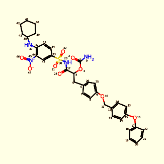 NC(=O)OC(Cc1ccc(OCc2ccc(Oc3ccccc3)cc2)cc1)C(=O)NS(=O)(=O)c1ccc(NC2CCCCC2)c([N+](=O)[O-])c1